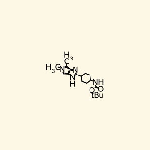 Cc1c2nc(C3CCC(NC(=O)OC(C)(C)C)CC3)[nH]c2cn1C